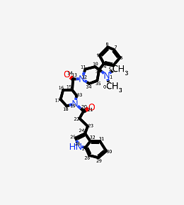 CN(C)C1(c2ccccc2)CCN(C(=O)C2CCCN(C(=O)CCc3c[nH]c4ccccc34)C2)CC1